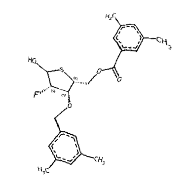 Cc1cc(C)cc(CO[C@H]2[C@H](F)C(O)S[C@@H]2COC(=O)c2cc(C)cc(C)c2)c1